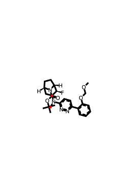 COCOc1ccccc1-c1ccc(N(C)[C@H]2C[C@@H]3CC[C@H]([C@H]2F)N3C(=O)OC(C)(C)C)nn1